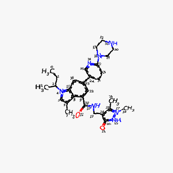 CCC(C)n1cc(C)c2c(C(=O)NCc3c(C)n(C)[nH]c3=O)cc(-c3ccc(N4CCNCC4)nc3)cc21